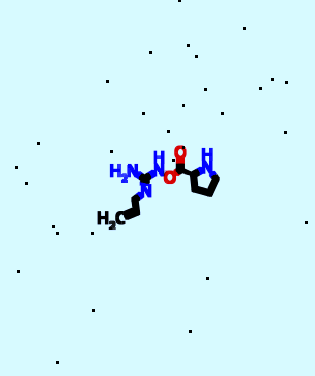 C=CCN=C(N)NOC(=O)[C@@H]1CCCN1